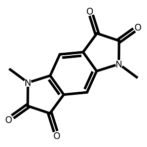 Cn1c(=O)c(=O)c2cc3c(cc21)c(=O)c(=O)n3C